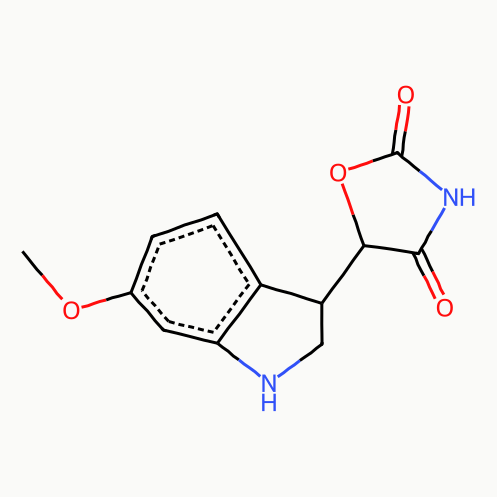 COc1ccc2c(c1)NCC2C1OC(=O)NC1=O